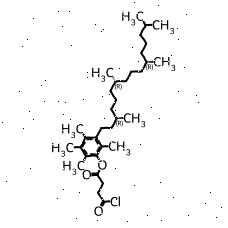 Cc1c(C)c(CC[C@H](C)CCC[C@H](C)CCC[C@H](C)CCCC(C)C)c(C)c(OC(=O)CCC(=O)Cl)c1C